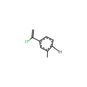 C=C(Cl)c1ccc(CC)c(C)c1